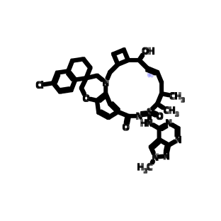 CC1C/C=C/C(O)C2CCC2CN2CC3(CCCc4cc(Cl)ccc43)COc3ccc(cc32)C(=O)N=S(=O)(Nc2ncnc3nn(C)cc23)C1C